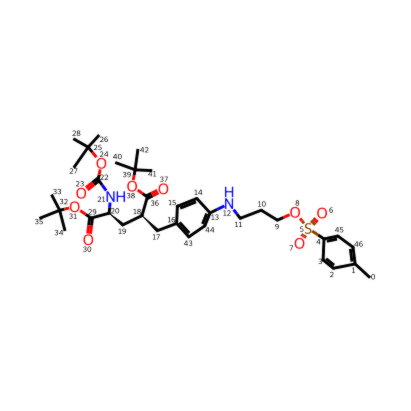 Cc1ccc(S(=O)(=O)OCCCNc2ccc(C[C@@H](C[C@H](NC(=O)OC(C)(C)C)C(=O)OC(C)(C)C)C(=O)OC(C)(C)C)cc2)cc1